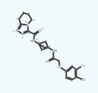 O=C(COc1ccc(Cl)c(F)c1)NC12CC(NC(=O)c3nnc4n3CCCC4)(C1)C2